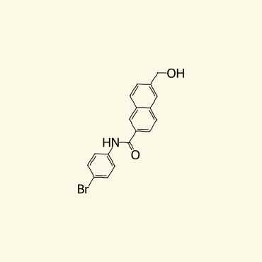 O=C(Nc1ccc(Br)cc1)c1ccc2cc(CO)ccc2c1